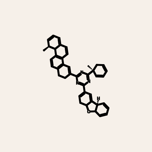 C[C@H]1C=CC=C2C=Cc3c(ccc4c3C=C(c3nc(C5=CCC6OC7C=CC=C[C@@H]7C6=C5)nc([C@]5(C)C=CC=CC5)n3)CC4)C21